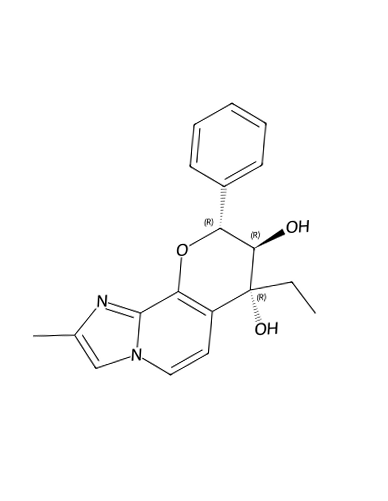 CC[C@@]1(O)c2ccn3cc(C)nc3c2O[C@H](c2ccccc2)[C@H]1O